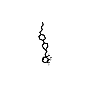 CCCCCC1CCC(C2CCC(CCC3(F)C=CCC(F)=C3F)CC2)CC1